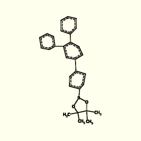 CC1(C)OB(c2ccc(-c3ccc(-c4ccccc4)c(-c4ccccc4)c3)cc2)OC1(C)C